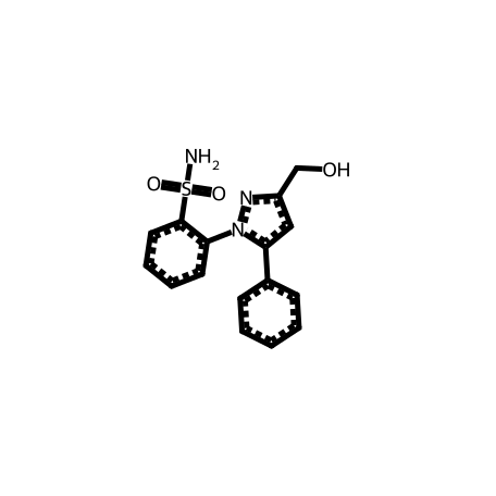 NS(=O)(=O)c1ccccc1-n1nc(CO)cc1-c1ccccc1